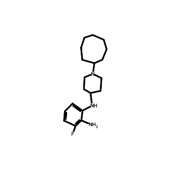 Nc1c(F)cccc1NC1CCN(C2CCCCCCC2)CC1